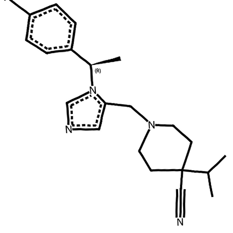 CC(C)C1(C#N)CCN(Cc2cncn2[C@H](C)c2ccc(F)cc2)CC1